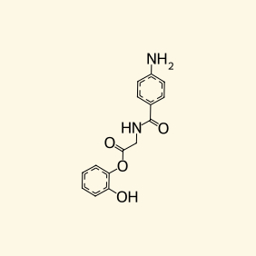 Nc1ccc(C(=O)NCC(=O)Oc2ccccc2O)cc1